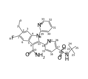 CCc1cc2c(cc1F)c(C(N)=O)c(-c1ccc(S(=O)(=O)NC(C)(C)C)cn1)n2-c1ccccn1